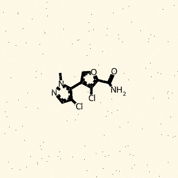 Cn1ncc(Cl)c1-c1coc(C(N)=O)c1Cl